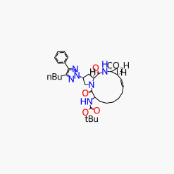 CCCCc1nn([C@H]2C[C@H]3C(=O)N[C@@]4(C(=O)O)C[C@H]4/C=C\CCCCC[C@@H](NC(=O)OC(C)(C)C)C(=O)N3C2)nc1-c1ccccc1